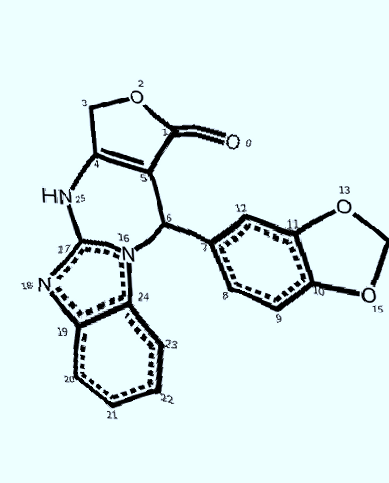 O=C1OCC2=C1C(c1ccc3c(c1)OCO3)n1c(nc3ccccc31)N2